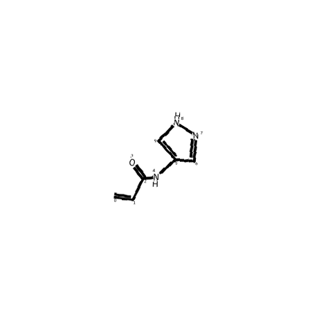 C=CC(=O)Nc1cn[nH]c1